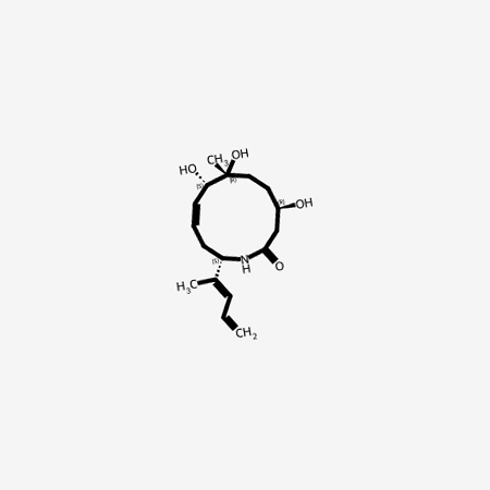 C=CC=C(C)[C@@H]1CC=C[C@H](O)[C@](C)(O)CC[C@@H](O)CC(=O)N1